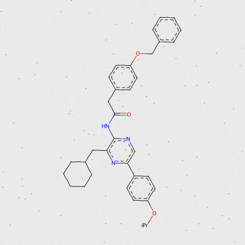 CC(C)Oc1ccc(-c2cnc(NC(=O)Cc3ccc(OCc4ccccc4)cc3)c(CC3CCCCC3)n2)cc1